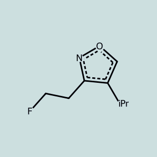 CC(C)c1conc1CCF